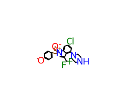 COc1ccc([S+]([O-])n2cc(C(F)F)c3c(N4CCNCC4)cc(Cl)cc32)cc1